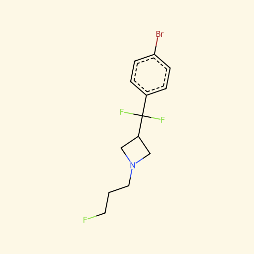 FCCCN1CC(C(F)(F)c2ccc(Br)cc2)C1